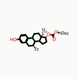 CCCCCCCCCCOC(=O)O[C@H]1CCC2C3C(CC[C@@]21C)c1ccc(O)cc1C[C@@H]3CC